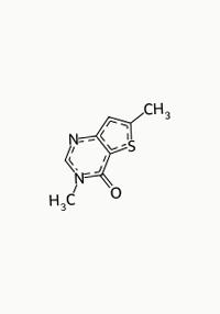 Cc1cc2ncn(C)c(=O)c2s1